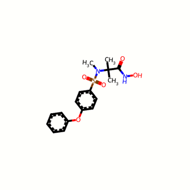 CN(C(C)(C)C(=O)NO)S(=O)(=O)c1ccc(Oc2ccccc2)cc1